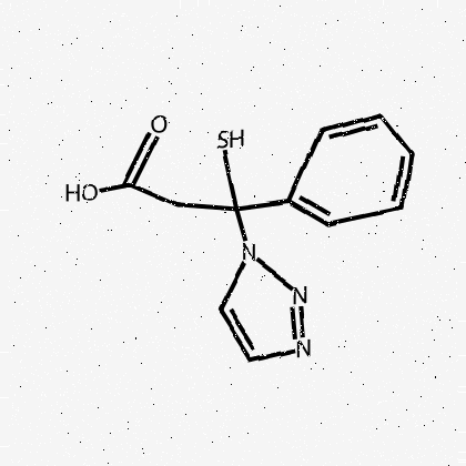 O=C(O)CC(S)(c1ccccc1)n1ccnn1